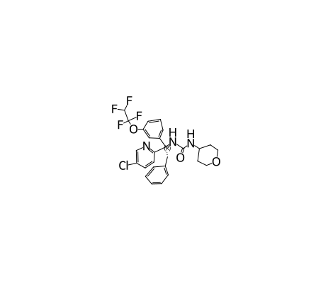 O=C(NC1CCOCC1)N[C@](Cc1ccccc1)(c1cccc(OC(F)(F)C(F)F)c1)c1ccc(Cl)cn1